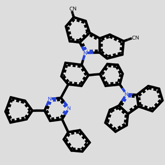 N#Cc1ccc2c(c1)c1cc(C#N)ccc1n2-c1ccc(-c2nc(-c3ccccc3)cc(-c3ccccc3)n2)cc1-c1cccc(-n2c3ccccc3c3ccccc32)c1